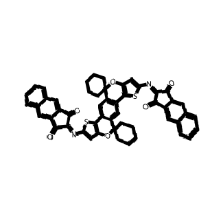 O=c1c(=Nc2cc3c(s2)-c2cc4c(cc2C2(CCCCC2)O3)-c2sc(N=c3c(=O)c5cc6ccccc6cc5c3=O)cc2OC42CCCCC2)c(=O)c2cc3ccccc3cc12